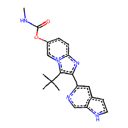 CNC(=O)Oc1ccc2nc(-c3cc4cc[nH]c4cn3)c(C(C)(C)C)n2c1